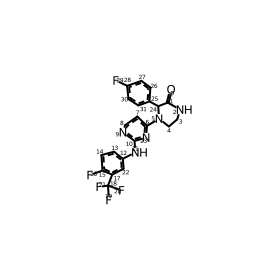 O=C1NCCN(c2ccnc(Nc3ccc(F)c(C(F)(F)F)c3)n2)C1c1ccc(F)cc1